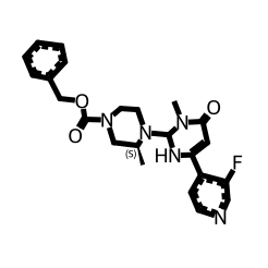 C[C@H]1CN(C(=O)OCc2ccccc2)CCN1C1NC(c2ccncc2F)=CC(=O)N1C